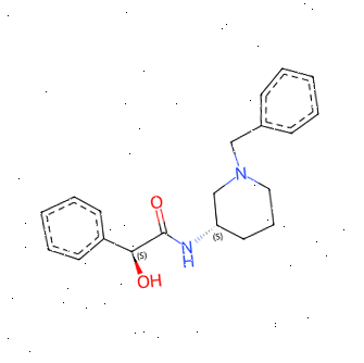 O=C(N[C@H]1CCCN(Cc2ccccc2)C1)[C@@H](O)c1ccccc1